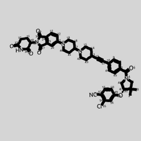 CC1(C)CN(C(=O)c2ccc(C#CC3CCN(C4CCN(c5ccc6c(c5)C(=O)N(C5CCC(=O)NC5=O)C6=O)CC4)CC3)cc2)C[C@@H]1Oc1ccc(C#N)c(Cl)c1